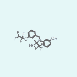 CC(O)(N(Cc1cccc(OC(F)(F)C(F)F)c1)c1cccc(O)c1)C(F)(F)F